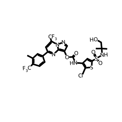 Cc1cc(-c2cc(C(F)(F)F)n3ncc(OC(=O)Nc4cc(S(=O)(=O)NC(C)(C)CO)sc4Cl)c3n2)ccc1C(F)(F)F